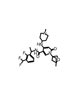 CC(NC(=O)c1cn(C23COC(C)(C2)C3)c(=O)cc1NC1CCN(C)CC1)c1cccc(C(F)F)c1F